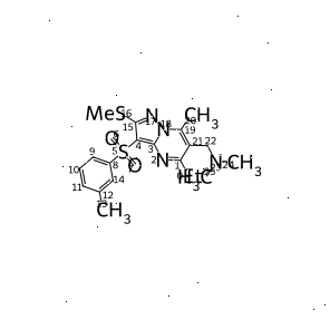 CCc1nc2c(S(=O)(=O)c3cccc(C)c3)c(SC)nn2c(C)c1CN(C)C